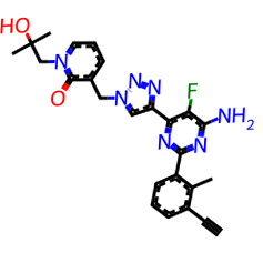 C#Cc1cccc(-c2nc(N)c(F)c(-c3cn(Cc4cccn(CC(C)(C)O)c4=O)nn3)n2)c1C